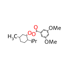 COc1cc(OC)cc(C(=O)OO[C]2CC(C)CCC2C(C)C)c1